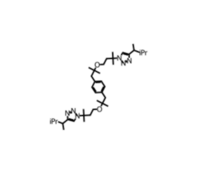 CC(C)C(C)c1cn(C(C)(C)CCOC(C)(C)Cc2ccc(CC(C)(C)OCCC(C)(C)n3cc(C(C)C(C)C)nn3)cc2)nn1